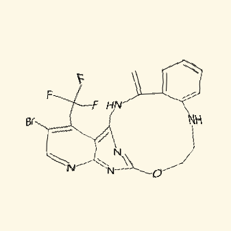 C=C1Nc2nc(nc3ncc(Br)c(C(F)(F)F)c23)OCCNc2ccccc21